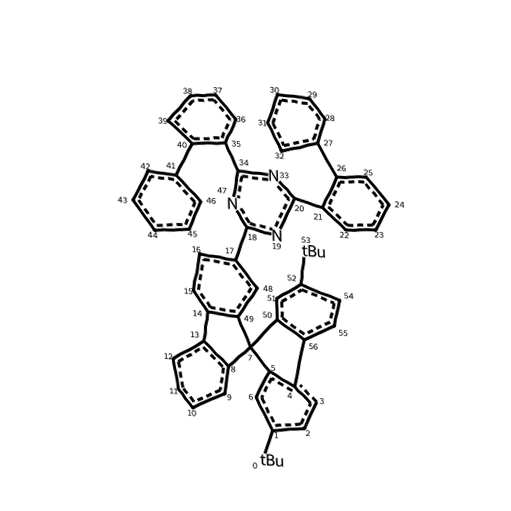 CC(C)(C)c1ccc2c(c1)C1(c3ccccc3-c3ccc(-c4nc(-c5ccccc5-c5ccccc5)nc(-c5ccccc5-c5ccccc5)n4)cc31)c1cc(C(C)(C)C)ccc1-2